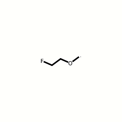 [CH2]OCCF